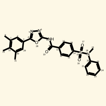 Cc1cc(-c2nnc(NC(=O)c3ccc(S(=O)(=O)N(C)c4ccccc4)cc3)o2)cc(C)c1C